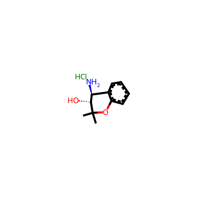 CC1(C)Oc2ccccc2[C@H](N)[C@H]1O.Cl